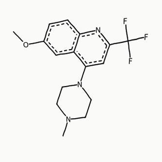 COc1ccc2nc(C(F)(F)F)cc(N3CCN(C)CC3)c2c1